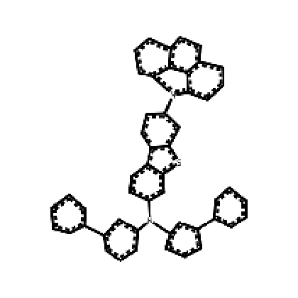 c1ccc(-c2cccc(N(c3cccc(-c4ccccc4)c3)c3ccc4c(c3)sc3cc(-n5c6cccc7ccc8cccc5c8c76)ccc34)c2)cc1